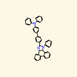 c1ccc(N(c2ccccc2)c2ccc(-c3ccc(C4=NC5c6ccccc6-c6ccccc6C5N4c4ccccc4)cc3)cc2)cc1